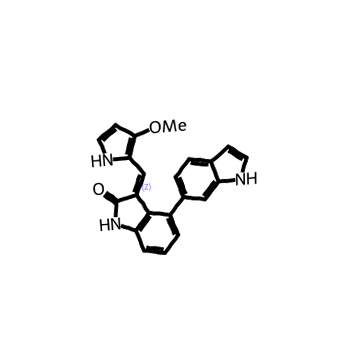 COc1cc[nH]c1/C=C1\C(=O)Nc2cccc(-c3ccc4cc[nH]c4c3)c21